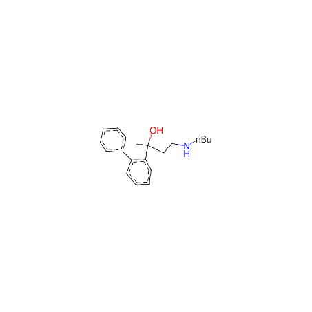 CCCCNCCC(C)(O)c1ccccc1-c1ccccc1